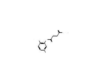 COC(=O)CCC(=O)Nc1cc(Cl)ccc1C(=O)O